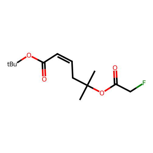 CC(C)(C)OC(=O)/C=C\CC(C)(C)OC(=O)CF